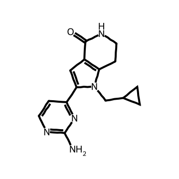 Nc1nccc(-c2cc3c(n2CC2CC2)CCNC3=O)n1